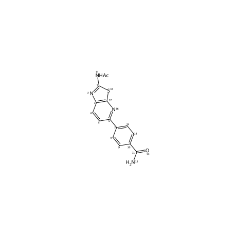 CC(=O)Nc1nc2ccc(-c3ccc(C(N)=O)cc3)nc2s1